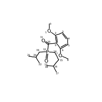 COc1cccc(OC)c1C(=O)P(=O)(CCC(C)C)CC(C)C